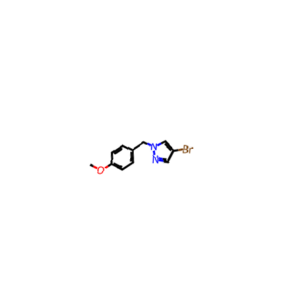 COc1ccc(Cn2cc(Br)cn2)cc1